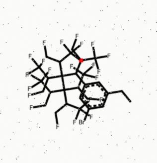 CCc1[c]c(Br)cc(C(C(CF)C(F)(F)F)C(C(CF)C(F)(F)F)(C(CF)C(F)(F)F)C(C(CF)C(F)(F)F)(C(CF)C(F)(F)F)C(CF)C(F)(F)F)c1